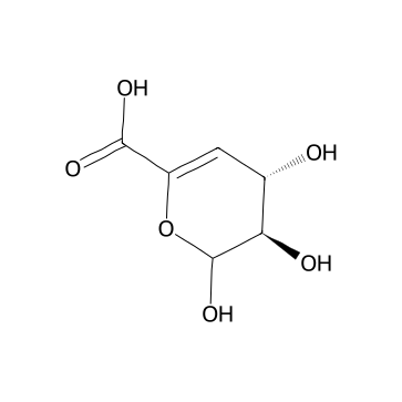 O=C(O)C1=C[C@H](O)[C@@H](O)C(O)O1